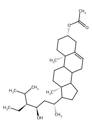 CC[C@@H](C(C)C)[C@H](O)C[C@@H](C)C1CCC2C3CC=C4C[C@@H](OC(C)=O)CC[C@]4(C)C3CC[C@@]21C